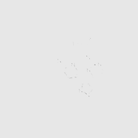 C[C@H](O)CNc1nccc(-c2cn(C)nc2-c2cnc3c(c2)C(C)(C)CN3)n1